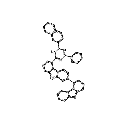 c1ccc(C2=NC(c3ccc4ccccc4c3)NC(c3cncc4oc5cc(-c6cccc7sc8ccccc8c67)ccc5c34)=N2)cc1